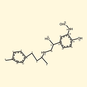 Cc1ccc(CCC(C)NCC(O)c2ccc(O)c(NC=O)c2)cc1